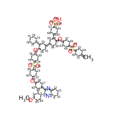 COc1ccc(-c2nc3ccccc3nc2-c2ccc(Oc3ccc(S(=O)(=O)c4ccc(Oc5ccc(-c6ccc(Oc7ccc(S(=O)(=O)c8ccc(C)cc8)cc7)c(-c7ccc(S(=O)(=O)O)cc7)c6)cc5-c5ccccc5)cc4)cc3)cc2)cc1